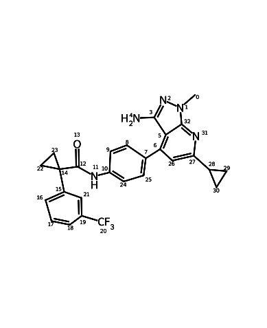 Cn1nc(N)c2c(-c3ccc(NC(=O)C4(c5cccc(C(F)(F)F)c5)CC4)cc3)cc(C3CC3)nc21